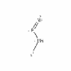 N=PBI